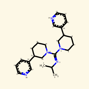 CC(C)N=C(N1CCCC(c2cccnc2)C1)N1CCCC(c2cccnc2)C1